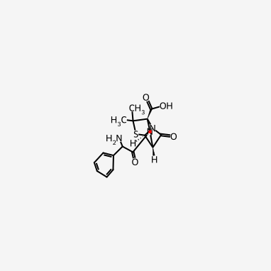 CC1(C)S[C@@H]2[C@H]3C(=O)N2[C@]1(C(=O)O)CN3C(=O)C(N)c1ccccc1